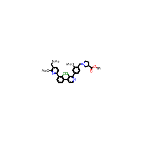 CNCc1ccc(-c2cccc(-c3ccnc(-c4ccc(CN5CCC(C(=O)OC(C)C)C5)c(OC)c4)c3Cl)c2Cl)nc1OC